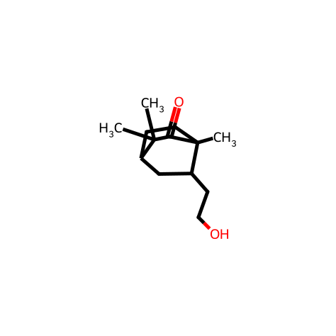 CC1(C)C(=O)C2(C)CCC1CC2CCO